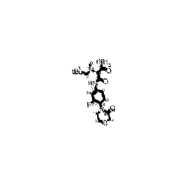 CN(CC(C)(C)C)[C@@H](C(N)=O)C(=O)Nc1ccc(N2CCOCC2=O)c(F)c1